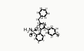 NS(=O)(=O)c1ccccc1-c1oc(Cc2ccccc2)nc1-c1ccc(F)cc1